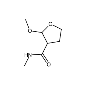 CNC(=O)C1CCOC1OC